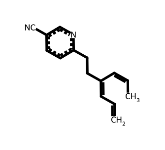 C=C/C=C(\C=C/C)CCc1ccc(C#N)cn1